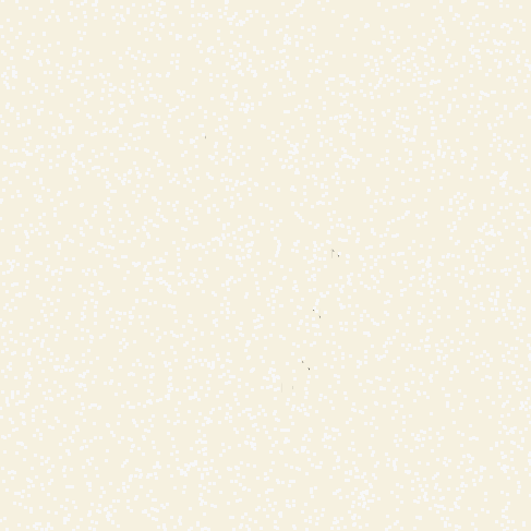 CCCCOc1ccc2ncc(N3CCCN(C)CC3)cc2c1